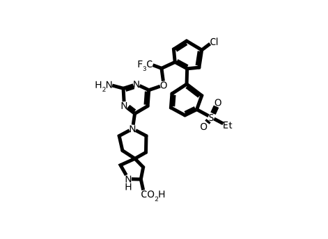 CCS(=O)(=O)c1cccc(-c2cc(Cl)ccc2C(Oc2cc(N3CCC4(CC3)CNC(C(=O)O)C4)nc(N)n2)C(F)(F)F)c1